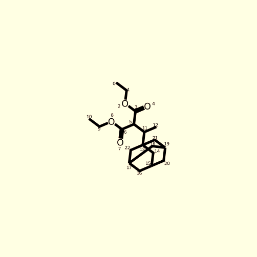 CCOC(=O)C(C(=O)OCC)C(C)C12CC3CC(CC(C3)C1)C2